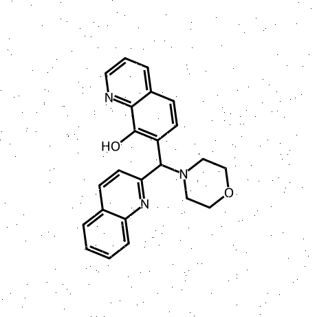 Oc1c(C(c2ccc3ccccc3n2)N2CCOCC2)ccc2cccnc12